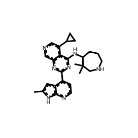 Cc1cc2c(-c3nc(NC4CCCNCC4(C)C)c4c(C5CC5)cncc4n3)ccnc2[nH]1